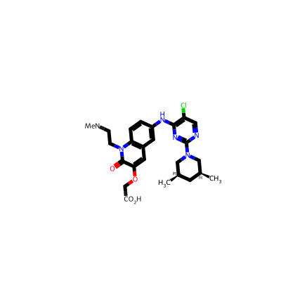 CNCCn1c(=O)c(OCC(=O)O)cc2cc(Nc3nc(N4C[C@H](C)C[C@H](C)C4)ncc3Cl)ccc21